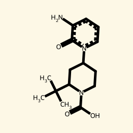 CC(C)(C)C1CC(n2cccc(N)c2=O)CCN1C(=O)O